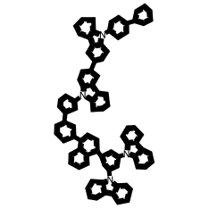 c1ccc(-c2ccc(-n3c4ccccc4c4cc(-c5ccc6c(c5)c5ccccc5n6-c5cccc(-c6cccc(-c7ccc(-c8cc(-n9c%10ccccc%10c%10ccccc%109)cc(-n9c%10ccccc%10c%10ccccc%109)c8)c8ccccc78)c6)c5)ccc43)cc2)cc1